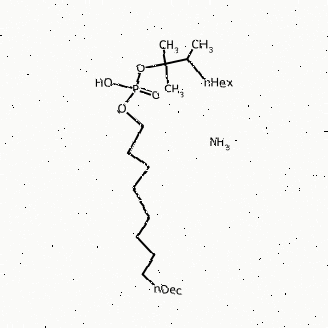 CCCCCCCCCCCCCCCCCCOP(=O)(O)OC(C)(C)C(C)CCCCCC.N